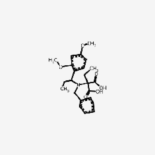 CCC(c1ccc(OC)cc1OC)N(Cc1ccccc1)C(CC)(C(=O)O)C(=O)O